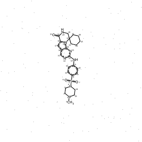 CN1CCN(S(=O)(=O)c2ccc(Nc3ncc4cc5n(c4n3)C3(CCCCC3)CNC5=O)cc2)CC1